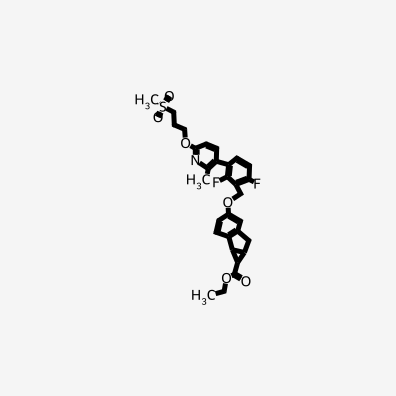 CCOC(=O)C1C2Cc3cc(OCc4c(F)ccc(-c5ccc(OCCCS(C)(=O)=O)nc5C)c4F)ccc3C21